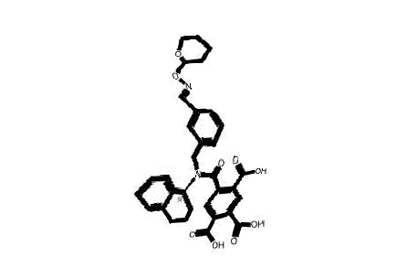 O=C(O)c1cc(C(=O)O)c(C(=O)N(Cc2cccc(C=NOC3CCCCO3)c2)[C@H]2CCCc3ccccc32)cc1C(=O)O